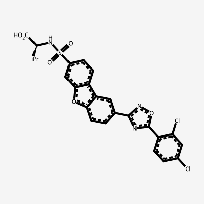 CC(C)[C@H](NS(=O)(=O)c1ccc2c(c1)oc1ccc(-c3noc(-c4ccc(Cl)cc4Cl)n3)cc12)C(=O)O